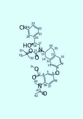 COC(=O)c1cc(Oc2ccc3c(c2)C[C@@H](N(C[C@@H](O)c2cccc(Cl)c2)C(=O)OC(C)(C)C)CC3)ccc1N(C)C(C)=O